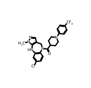 Cn1ncc2c1Nc1cc(Cl)ccc1N(C(=O)C1CCN(c3ccc(C(F)(F)F)cc3)CC1)C2